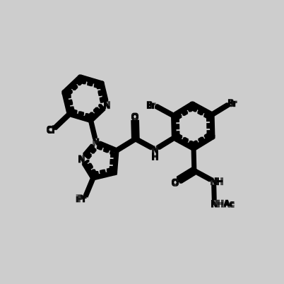 CC(=O)NNC(=O)c1cc(Br)cc(Br)c1NC(=O)c1cc(C(C)C)nn1-c1ncccc1Cl